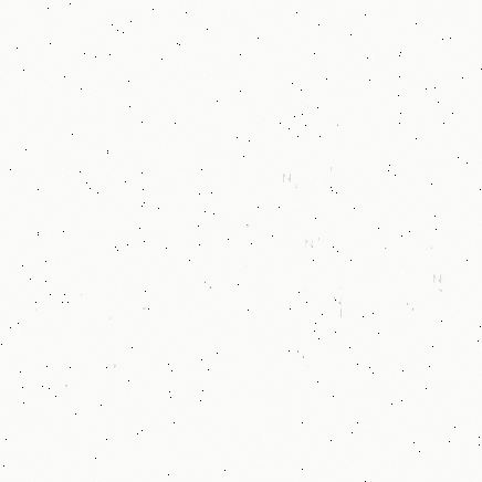 C[C@@H]1COCCN1c1cc(N2CCC(c3ccccc3)CC2)c(C=N)c(Nc2cc[nH]n2)n1